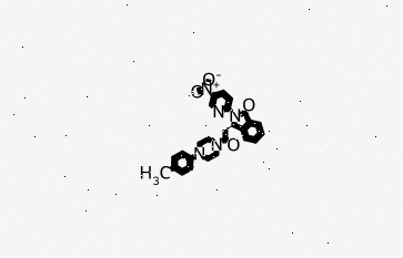 Cc1ccc(N2CCN(C(=O)C[C@H]3c4ccccc4C(=O)N3c3ccc([N+](=O)[O-])cn3)CC2)cc1